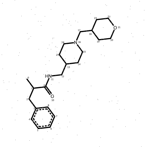 CC(Cc1ccccc1)C(=O)NCC1CCN(CC2CCOCC2)CC1